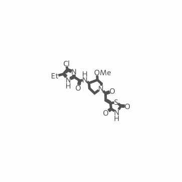 CCc1[nH]c(C(=O)NC2CCN(C(=O)/C=C3\SC(=O)NC3=O)CC2OC)nc1Cl